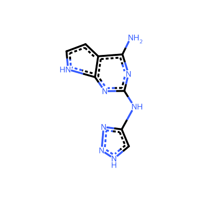 Nc1nc(Nc2c[nH]nn2)nc2[nH]ccc12